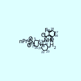 CCCS(=O)(=O)N1CCN(C2(CNC(=O)c3c(N)cccc3F)CCCCC2)CC1